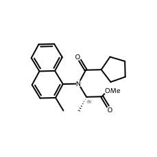 COC(=O)[C@H](C)N(C(=O)C1CCCC1)c1c(C)ccc2ccccc12